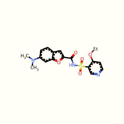 CCOc1ccncc1S(=O)(=O)NC(=O)c1cc2ccc(N(C)C)cc2o1